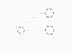 Fc1ccc(Cc2ccccc2COCC2CCc3[nH]cnc3C2)cc1